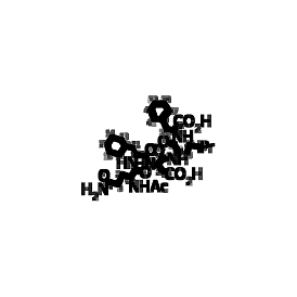 CC(=O)N[C@@H](CCC(N)=O)C(=O)N[C@@H](CC1CCCCC1)C(=O)NC(CC(=O)O)C(=O)N[C@@H](CCC(C)C)C(=O)NC(Cc1ccccc1)C(=O)O